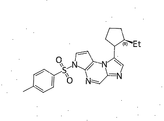 CC[C@@H]1CCCC1c1cnc2cnc3c(ccn3S(=O)(=O)c3ccc(C)cc3)n12